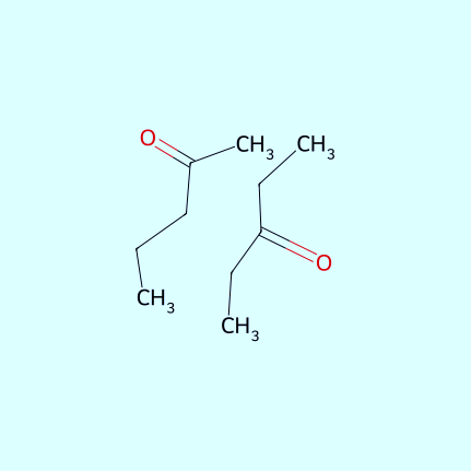 CCC(=O)CC.CCCC(C)=O